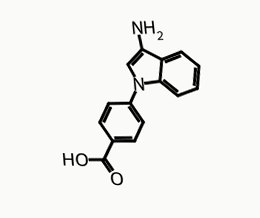 Nc1cn(-c2ccc(C(=O)O)cc2)c2ccccc12